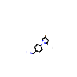 N#Cc1cc(Br)cn1-c1ccc(CN)cc1